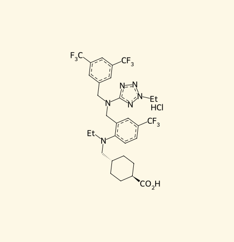 CCN(C[C@H]1CC[C@H](C(=O)O)CC1)c1ccc(C(F)(F)F)cc1CN(Cc1cc(C(F)(F)F)cc(C(F)(F)F)c1)c1nnn(CC)n1.Cl